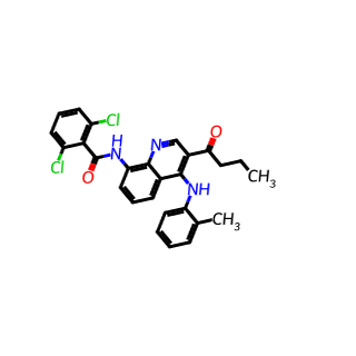 CCCC(=O)c1cnc2c(NC(=O)c3c(Cl)cccc3Cl)cccc2c1Nc1ccccc1C